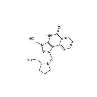 Cl.Cn1nc(CN2CCCC2CO)c2c3ccccc3c(=O)[nH]c21